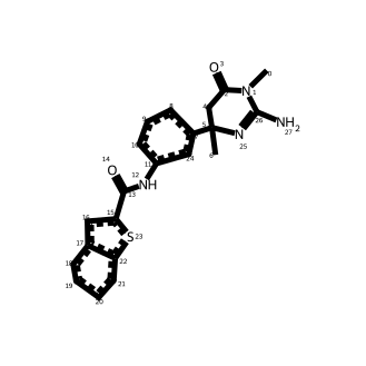 CN1C(=O)CC(C)(c2cccc(NC(=O)c3cc4ccccc4s3)c2)N=C1N